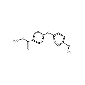 COC(=O)c1ccc(Oc2ccc(OC)cc2)cc1